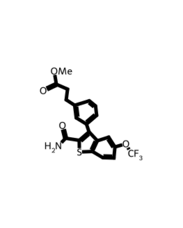 COC(=O)CCc1cccc(-c2c(C(N)=O)sc3ccc(OC(F)(F)F)cc23)c1